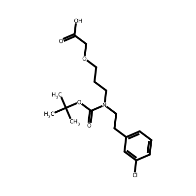 CC(C)(C)OC(=O)N(CCCOCC(=O)O)CCc1cccc(Cl)c1